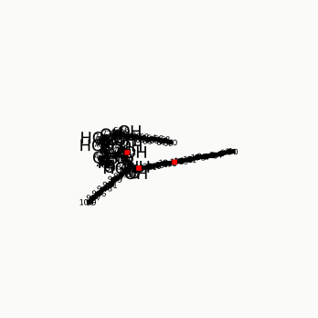 CC#CC#CC#CC#CC#CC#CC#CC#CC#CC#CC#CC#CC(=O)N[C@@H](CO[C@H]1OC(CSC2C(=O)N(C)C(=O)C2SCC2O[C@H](OC[C@H](C)[C@H](O)[C@H](O)CCCCCCCCCCCCCC)C(O)[C@@H](O)[C@H]2O)[C@H](O)[C@H](O)C1O)[C@H](O)[C@H](O)CCCCCCCCCCCCCC